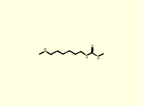 CNCCCCCCNC(=O)NC